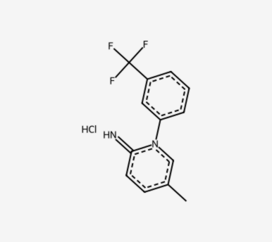 Cc1ccc(=N)n(-c2cccc(C(F)(F)F)c2)c1.Cl